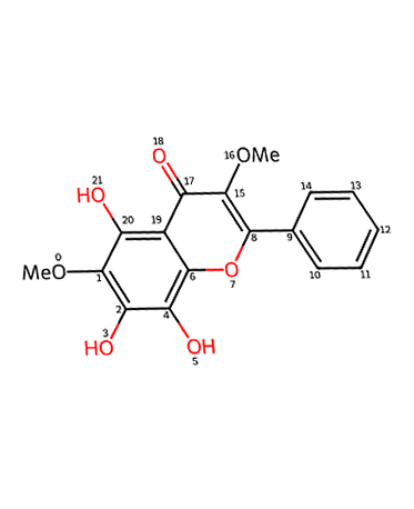 COc1c(O)c(O)c2oc(-c3ccccc3)c(OC)c(=O)c2c1O